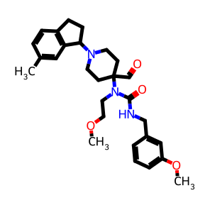 COCCN(C(=O)NCc1cccc(OC)c1)C1(C=O)CCN(C2CCc3ccc(C)cc32)CC1